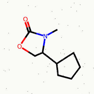 CN1C(=O)OCC1C1CCCC1